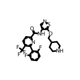 O=C(Nc1cnsc1OCC1CCNCC1)c1ccc(C(F)(F)F)c(-c2c(F)cccc2F)n1